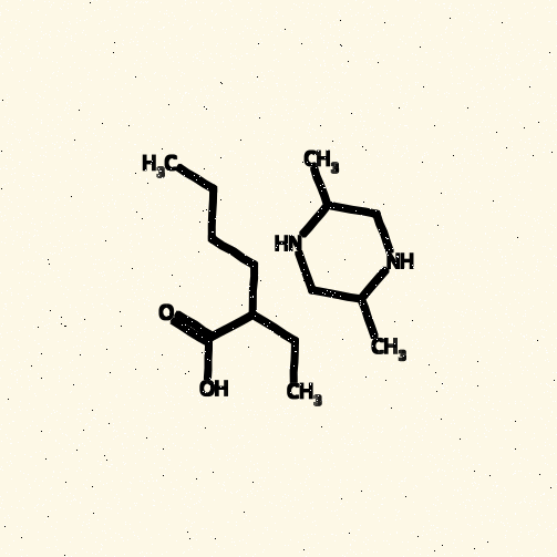 CC1CNC(C)CN1.CCCCC(CC)C(=O)O